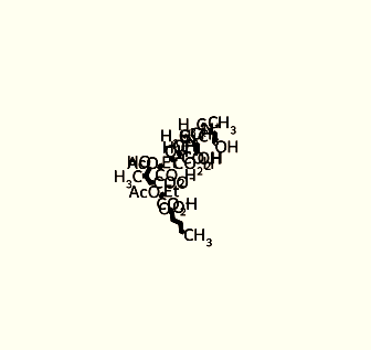 CC(CO)CC(=O)[O-].CCC(OC(C)=O)C(=O)O.CCC(OC(C)=O)C(=O)O.CCCCC(=O)[O-].C[N+](C)(C)CCO.C[N+](C)(C)CCO.O=C(O)CO.O=C(O)CO